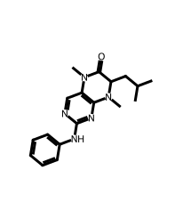 CC(C)CC1C(=O)N(C)c2cnc(Nc3ccccc3)nc2N1C